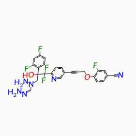 N#Cc1ccc(OCC#Cc2ccc(C(F)(F)C(O)(CN(N)/C=N\N)c3ccc(F)cc3F)nc2)c(F)c1